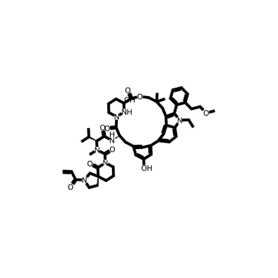 C=CC(=O)N1CC[C@@]2(CCCN(C(=O)N(C)[C@H](C(=O)N[C@H]3Cc4cc(O)cc(c4)-c4ccc5c(c4)c(c(-c4ccccc4CCOC)n5CC)CC(C)(C)COC(=O)[C@@]4(O)CCCN(N4)C3=O)C(C)C)C2=O)C1